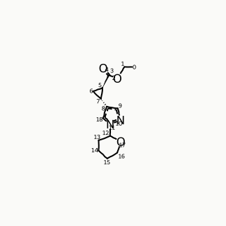 CCOC(=O)[C@@H]1C[C@H]1c1cnn(C2CCCCO2)c1